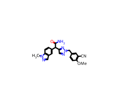 COc1ccc(Cn2ncc(C(C(N)=O)c3ccc4c(cnn4C)c3)n2)cc1C#N